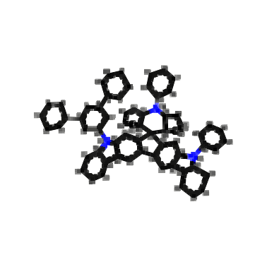 c1ccc(-c2cc(-c3ccccc3)cc(-n3c4ccccc4c4cc5c(cc43)C3(c4cc6c(cc4-5)c4ccccc4n6-c4ccccc4)c4ccccc4N(c4ccccc4)c4ccccc43)c2)cc1